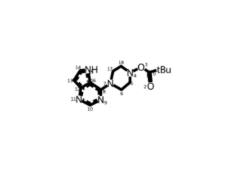 CC(C)(C)C(=O)ON1CCN(c2ncnc3cc[nH]c23)CC1